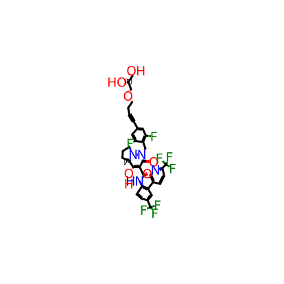 C[C@]12CCCN1N(Cc1c(F)cc(C#CCCOC[C@H](O)CO)cc1F)C(=O)C(C(=O)Nc1ccc(C(F)(F)F)cc1-c1ccc(C(F)(F)F)nc1)=C2O